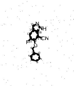 N#Cc1c(OCc2ccccc2)c(F)cc2cn[nH]c12